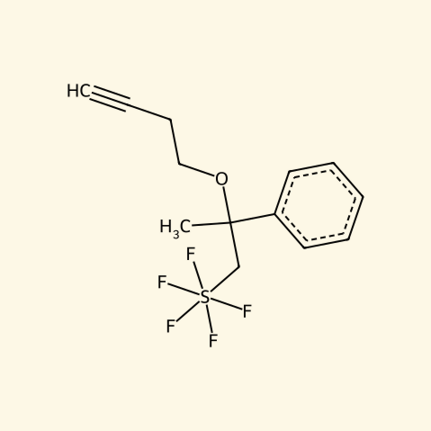 C#CCCOC(C)(CS(F)(F)(F)(F)F)c1ccccc1